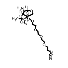 CC1(C)O[C@@H]2[C@@H](N)[C@H]3OC[C@](COCCOCCOCCOCCN=[N+]=[N-])(O3)[C@@H]2O1